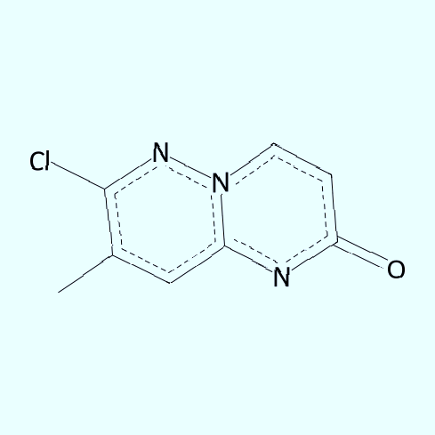 Cc1cc2nc(=O)ccn2nc1Cl